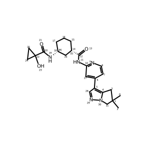 CC1(C)Cc2c(-c3ccnc(NC(=O)[C@H]4CCC[C@@H](NC(=O)C5(O)CC5)C4)c3)cnn2C1